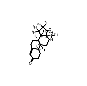 [2H]C1([2H])C(=O)[C@@]2(C([2H])([2H])[2H])CC[C@H]3[C@@H](CCC4=CC(=O)CC[C@@]43C)[C@@H]2C1([2H])[2H]